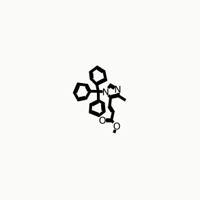 COC(=O)C=Cc1c(C)ncn1C(c1ccccc1)(c1ccccc1)c1ccccc1